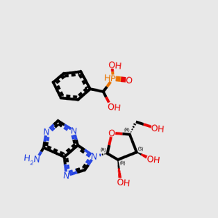 Nc1ncnc2c1ncn2[C@@H]1O[C@H](CO)[C@@H](O)[C@H]1O.O=[PH](O)C(O)c1ccccc1